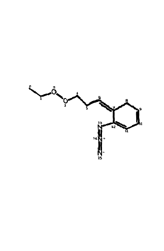 CCOOCC/C=C1/CC=CC=C1N=[N+]=[N-]